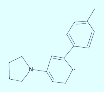 Cc1ccc(C2=CC(N3CCCC3)=CC[CH]2)cc1